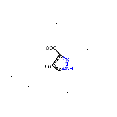 O=C([O-])c1cc[nH]n1.[Cu+]